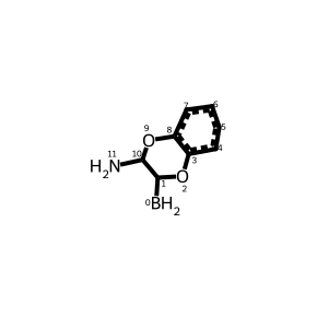 BC1Oc2ccccc2OC1N